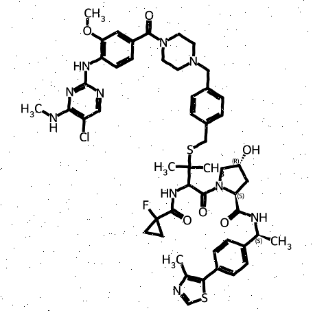 CNc1nc(Nc2ccc(C(=O)N3CCN(Cc4ccc(CSC(C)(C)C(NC(=O)C5(F)CC5)C(=O)N5C[C@H](O)C[C@H]5C(=O)N[C@@H](C)c5ccc(-c6scnc6C)cc5)cc4)CC3)cc2OC)ncc1Cl